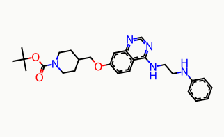 CC(C)(C)OC(=O)N1CCC(COc2ccc3c(NCCNc4ccccc4)ncnc3c2)CC1